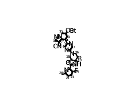 CCOc1cc(-c2cnc(N3CCC(C)(NC(=O)c4nc(C)ccc4F)CC3)cn2)c2c(C#N)cnn2c1